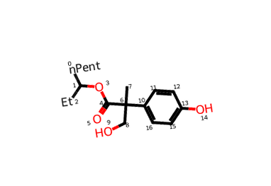 CCCCCC(CC)OC(=O)C(C)(CO)c1ccc(O)cc1